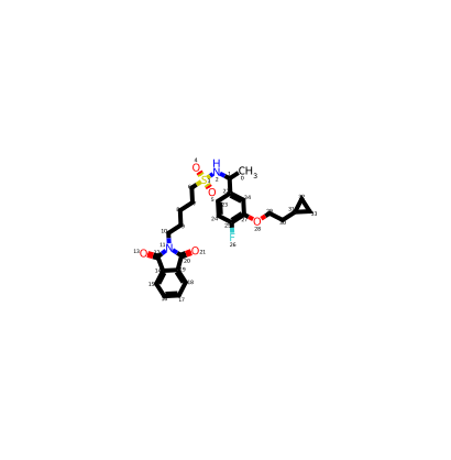 CC(NS(=O)(=O)CCCCCN1C(=O)c2ccccc2C1=O)c1ccc(F)c(OCCC2CC2)c1